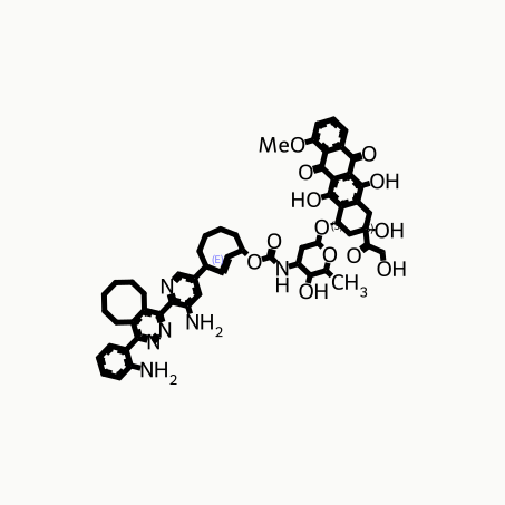 COc1cccc2c1C(=O)c1c(O)c3c(c(O)c1C2=O)C[C@@](O)(C(=O)CO)C[C@@H]3OC1CC(NC(=O)OC2/C=C/C(c3cnc(-c4nnc(-c5ccccc5N)c5c4CCCCCC5)c(N)c3)CCCC2)C(O)C(C)O1